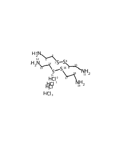 Cl.Cl.Cl.Cl.NCCSSCCN.NCCSSCCN